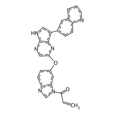 C=CC(=O)n1cnc2ccc(Oc3cnc4[nH]cc(-c5ccc6ncccc6c5)c4n3)cc21